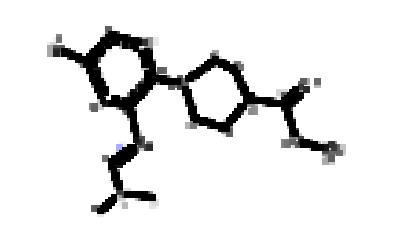 CN(C)/C=N/c1nc(Br)cnc1N1CCN(C(=O)OC(C)(C)C)CC1